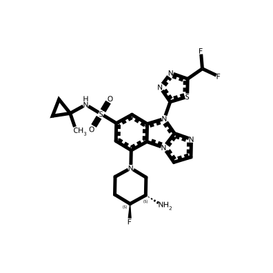 CC1(NS(=O)(=O)c2cc(N3CC[C@H](F)[C@@H](N)C3)c3c(c2)n(-c2nnc(C(F)F)s2)c2nccn32)CC1